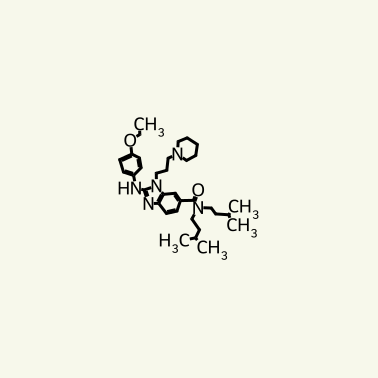 CCOc1ccc(Nc2nc3ccc(C(=O)N(CCC(C)C)CCC(C)C)cc3n2CCCN2CCCCC2)cc1